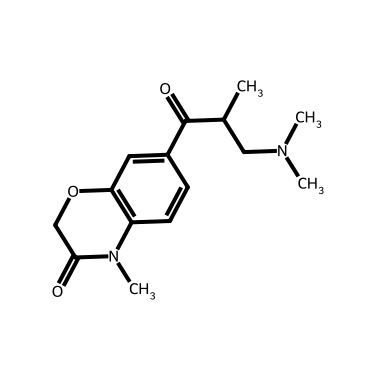 CC(CN(C)C)C(=O)c1ccc2c(c1)OCC(=O)N2C